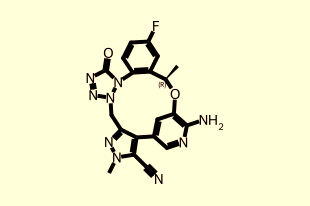 C[C@H]1Oc2cc(cnc2N)-c2c(nn(C)c2C#N)Cn2nnc(=O)n2-c2ccc(F)cc21